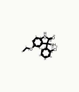 CCOc1ccc2c(c1)C(N)(c1ccccc1Cl)C(=O)N2